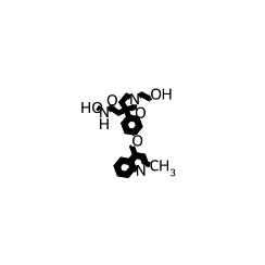 Cc1cc(COc2ccc(C3(CC(=O)NO)CCN(CCO)C3=O)cc2)c2ccccc2n1